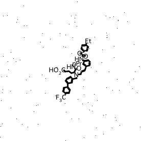 CCCNC(=O)C(CCCC(=O)O)N(C/C=C/c1cccc(NS(=O)(=O)c2ccc(CC)cc2)c1)Cc1cccc(-c2ccc(C(F)(F)F)cc2)c1